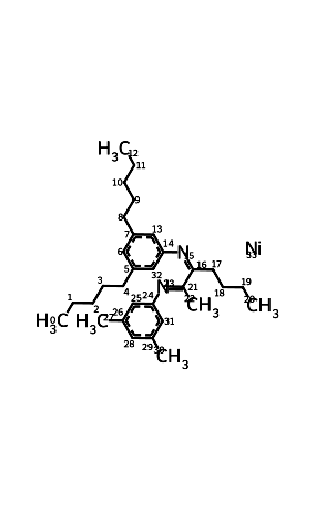 CCCCCc1cc(CCCCC)cc(N=C(CCCC)C(C)=Nc2cc(C)cc(C)c2)c1.[Ni]